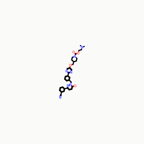 CN(C)CCOC(=O)N1CCC(COc2cnc(-c3cccc(Cn4nc(-c5cccc(C#N)c5)ccc4=O)c3)nc2)CC1